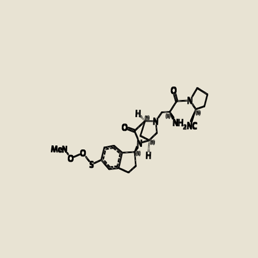 CNOOSc1ccc2c(c1)CC[C@@H]2N1C(=O)[C@@H]2C[C@H]1CN2C[C@H](N)C(=O)N1CCC[C@H]1C#N